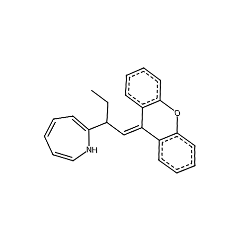 CCC(C=C1c2ccccc2Oc2ccccc21)C1=CC=CC=CN1